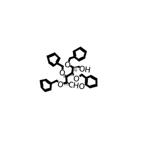 O=C[C@H](OCc1ccccc1)[C@H](OCc1ccccc1)[C@@H](OCc1ccccc1)[C@H](CO)OCc1ccccc1